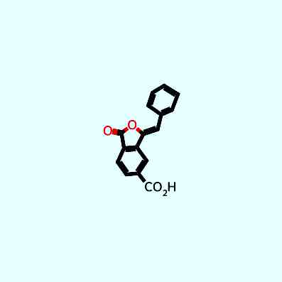 O=C(O)c1ccc2c(c1)C(=Cc1ccccc1)OC2=O